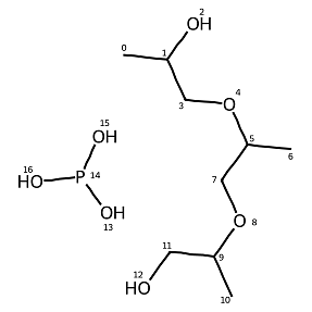 CC(O)COC(C)COC(C)CO.OP(O)O